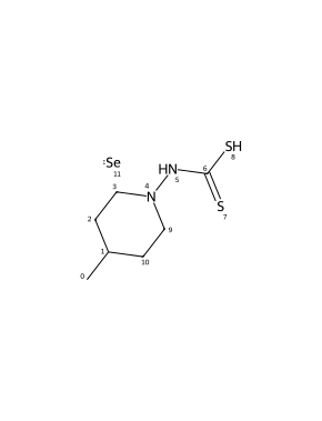 CC1CCN(NC(=S)S)CC1.[Se]